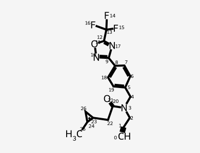 C#CCN(Cc1ccc(-c2noc(C(F)(F)F)n2)cc1)C(=O)CC1=C(C)C1